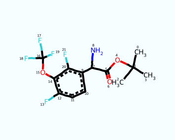 CC(C)(C)OC(=O)C(N)c1ccc(F)c(OC(F)(F)F)c1F